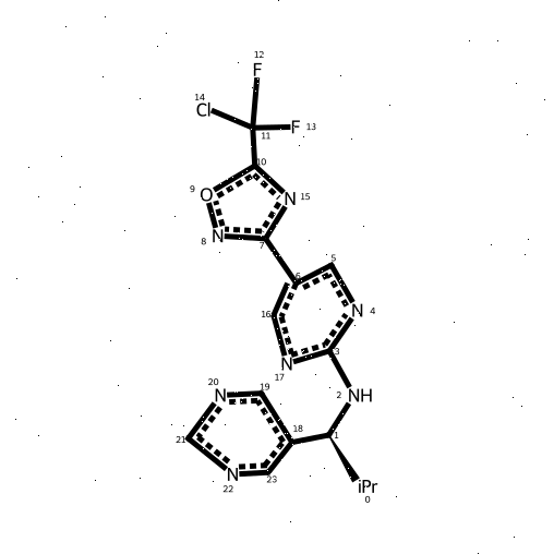 CC(C)[C@H](Nc1ncc(-c2noc(C(F)(F)Cl)n2)cn1)c1cncnc1